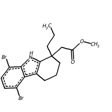 CCCC1(CC(=O)OC)CCCc2c1[nH]c1c(Br)ccc(Br)c21